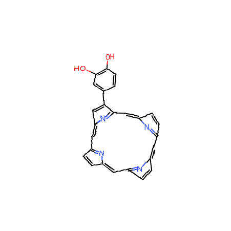 Oc1ccc(C2=CC3=CC4=NC(=CC5=NC(=CC6=NC(=CC2=N3)C=C6)C=C5)C=C4)cc1O